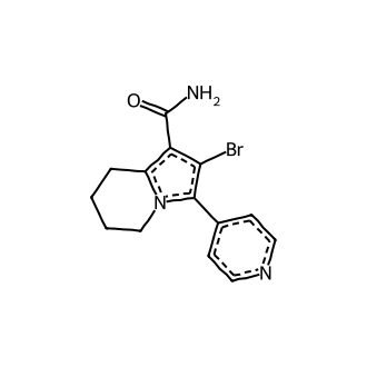 NC(=O)c1c(Br)c(-c2ccncc2)n2c1CCCC2